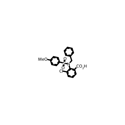 COc1ccc(S(=O)(=O)N(Cc2ccccc2)c2c(Cl)cccc2C(=O)O)cc1